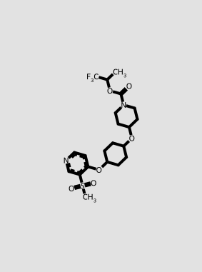 CC(OC(=O)N1CCC(OC2CCC(Oc3ccncc3S(C)(=O)=O)CC2)CC1)C(F)(F)F